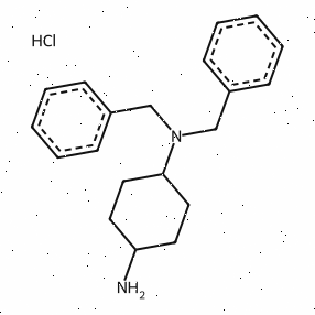 Cl.NC1CCC(N(Cc2ccccc2)Cc2ccccc2)CC1